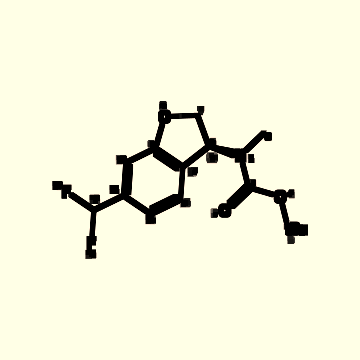 CN(C(=O)OC(C)(C)C)[C@@H]1COc2cc(C(F)F)ccc21